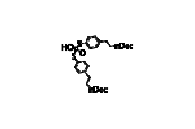 CCCCCCCCCCCCc1ccc(SP(=O)(O)Sc2ccc(CCCCCCCCCCCC)cc2)cc1